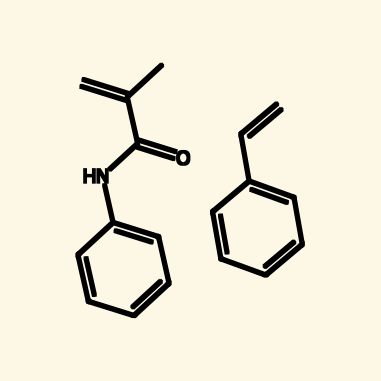 C=C(C)C(=O)Nc1ccccc1.C=Cc1ccccc1